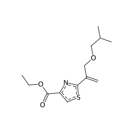 C=C(COCC(C)C)c1nc(C(=O)OCC)cs1